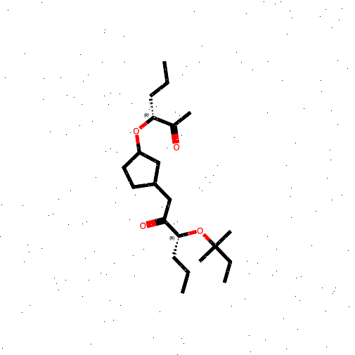 CCC[C@@H](OC1CCC(CC(=O)[C@@H](CCC)OC(C)(C)CC)C1)C(C)=O